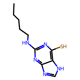 CCCCCNc1nc(S)c2[nH]cnc2n1